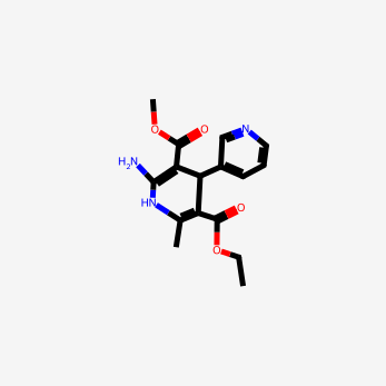 CCOC(=O)C1=C(C)NC(N)=C(C(=O)OC)C1c1cccnc1